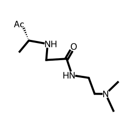 CC(=O)[C@@H](C)NCC(=O)NCCN(C)C